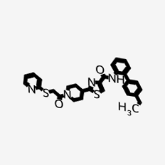 CCc1ccc(-c2ccccc2NC(=O)c2csc(C3CCN(C(=O)CSc4ccccn4)CC3)n2)cc1